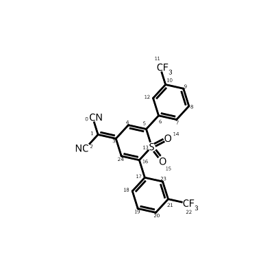 N#CC(C#N)=C1C=C(c2cccc(C(F)(F)F)c2)S(=O)(=O)C(c2cccc(C(F)(F)F)c2)=C1